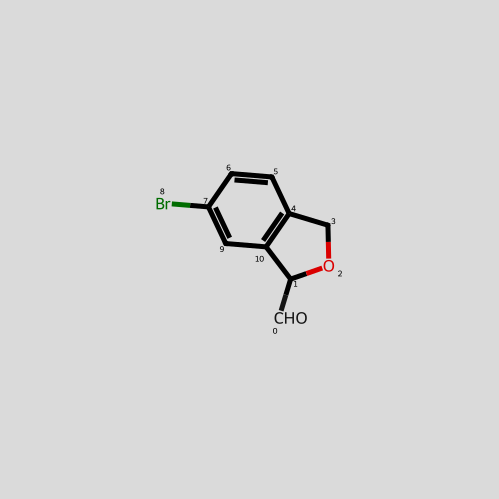 O=CC1OCc2ccc(Br)cc21